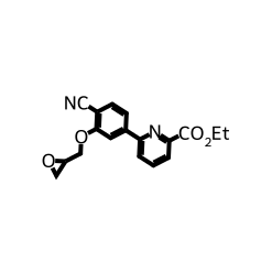 CCOC(=O)c1cccc(-c2ccc(C#N)c(OCC3CO3)c2)n1